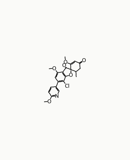 COC1=CC(=O)CC(C)[C@@]12Oc1c(Cl)c(-c3ccc(OC)nc3)cc(OC)c1C2=O